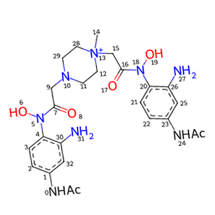 CC(=O)Nc1ccc(N(O)C(=O)CN2CC[N+](C)(CC(=O)N(O)c3ccc(NC(C)=O)cc3N)CC2)c(N)c1